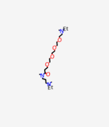 CCN(C)CCCN(C)C(=O)CCOCCOCCOCCOCCN(C)CC